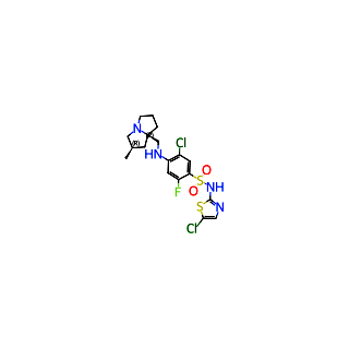 C[C@H]1CN2CCC[C@]2(CNc2cc(F)c(S(=O)(=O)Nc3ncc(Cl)s3)cc2Cl)C1